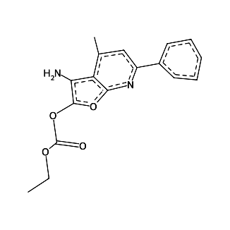 CCOC(=O)Oc1oc2nc(-c3ccccc3)cc(C)c2c1N